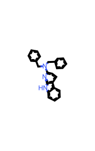 c1ccc(CN(Cc2ccccc2)c2ccc3c(n2)[nH]c2ccccc23)cc1